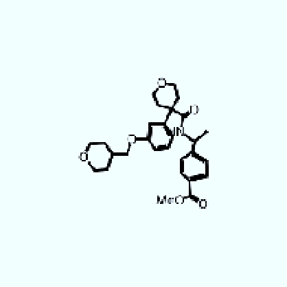 COC(=O)c1ccc(C(C)NC(=O)C2(c3cccc(OCC4CCOCC4)c3)CCOCC2)cc1